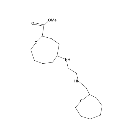 COC(=O)C1CCCCCC(NCCNCC2CCCCCCC2)CC1